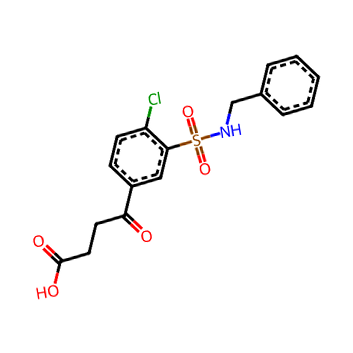 O=C(O)CCC(=O)c1ccc(Cl)c(S(=O)(=O)NCc2ccccc2)c1